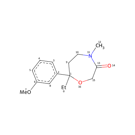 CCC1(c2cccc(OC)c2)CCN(C)C(=O)CO1